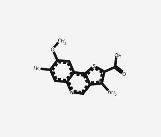 COc1cc2c(cc1O)ncc1c(N)c(C(=O)O)sc12